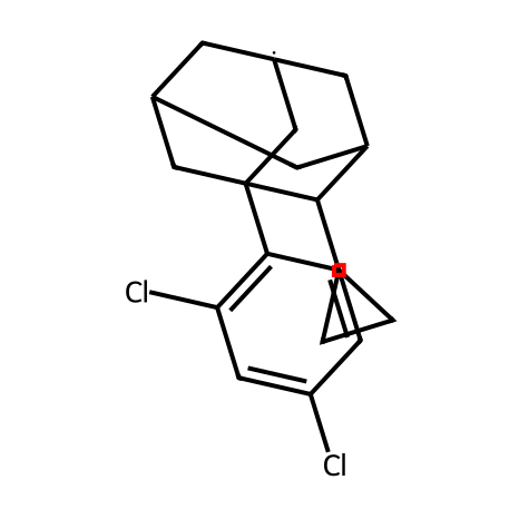 Clc1ccc(C23C[C]4CC(CC(C4)C2C2CC2)C3)c(Cl)c1